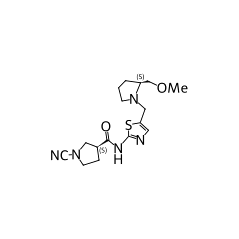 COC[C@@H]1CCCN1Cc1cnc(NC(=O)[C@H]2CCN(C#N)C2)s1